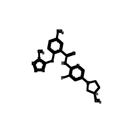 C[C@@H]1CCN(c2cnc(NC(=O)c3cc([N+](=O)[O-])ccc3Sc3nnnn3C)c(F)c2)C1